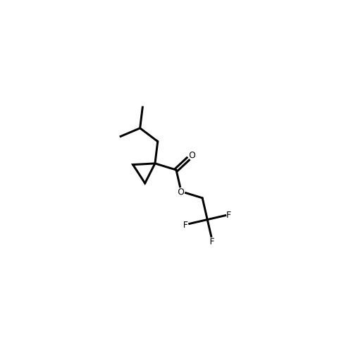 CC(C)CC1(C(=O)OCC(F)(F)F)CC1